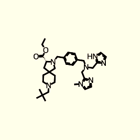 CCOC(=O)[C@H]1CC2(CCN(CC(C)(C)C)CC2)CN1Cc1ccc(CN(Cc2ncc[nH]2)Cc2nccn2C)cc1